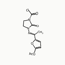 CC(=O)Oc1ccc(C(C)=NN2CCN(C(=O)Cl)C2=O)o1